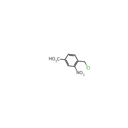 O=C(O)c1ccc(CCl)c([N+](=O)[O-])c1